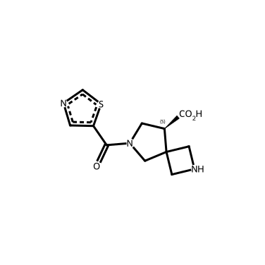 O=C(O)[C@@H]1CN(C(=O)c2cncs2)CC12CNC2